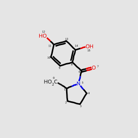 O=C(O)C1CCCN1C(=O)c1ccc(O)cc1O